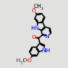 COc1ccc2c(C(=O)c3nccc4c3[nH]c3cc(OC)ccc34)c[nH]c2c1